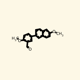 COc1ccc2cc(-c3ccc(OC)c(C=O)c3)ccc2c1